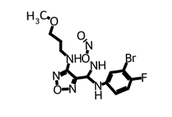 COCCCNc1nonc1C(NON=O)Nc1ccc(F)c(Br)c1